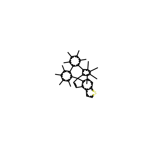 Cc1c(C)c(C)c2c(c1C)-c1c(C)c(C)c(C)c(C)c1C1(C=Cc3c1ccc1sccc31)c1c(C)c(C)c(C)c(C)c1-2